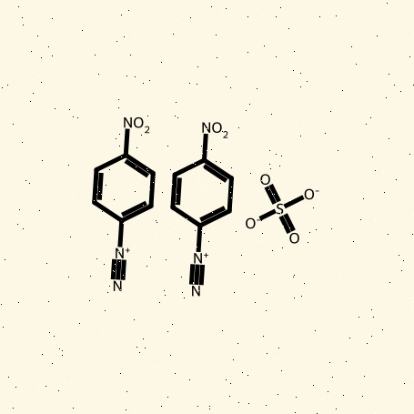 N#[N+]c1ccc([N+](=O)[O-])cc1.N#[N+]c1ccc([N+](=O)[O-])cc1.O=S(=O)([O-])[O-]